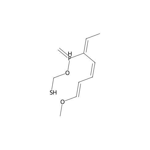 C=[PH](OCS)C(/C=C\C=C\OC)=C/C